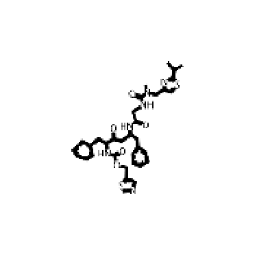 CC(C)c1nc(CN(C)C(=O)NCC(=O)NC(CC(=O)C(Cc2ccccc2)NC(=O)OCc2cncs2)Cc2ccccc2)cs1